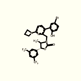 CCc1ccc(O)c(-c2ccc(N3CCC3)nc2CN2C(=O)O[C@H](c3cc(C(F)(F)F)cc(C(F)(F)F)c3)C2C)c1